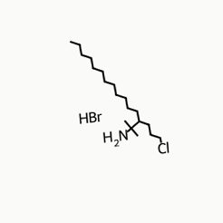 Br.CCCCCCCCCCCCC(CCCCl)C(C)(C)N